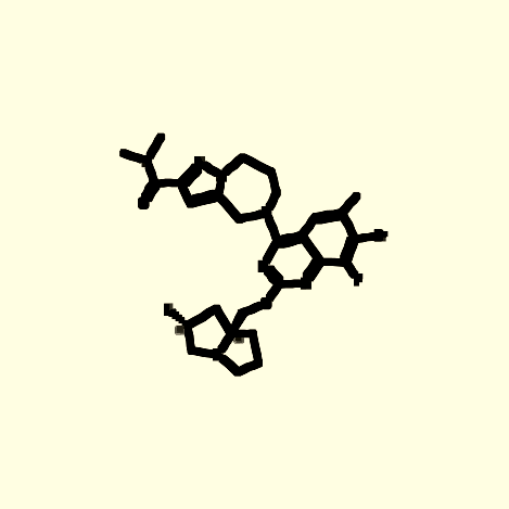 Cc1cc2c(N3CCCn4nc(C(=O)N(C)C)cc4C3)nc(OC[C@@]34CCCN3C[C@H](F)C4)nc2c(F)c1Br